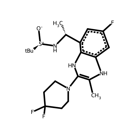 CC1=C(N2CCC(F)(F)CC2)Nc2c(cc(F)cc2[C@@H](C)N[S@+]([O-])C(C)(C)C)N1